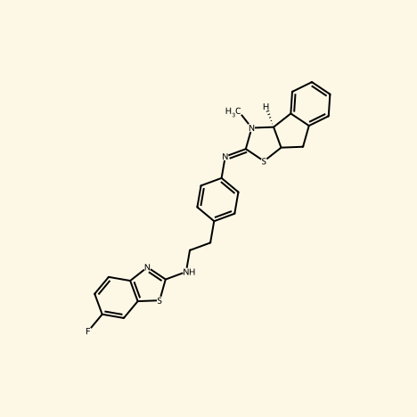 CN1/C(=N/c2ccc(CCNc3nc4ccc(F)cc4s3)cc2)SC2Cc3ccccc3[C@@H]21